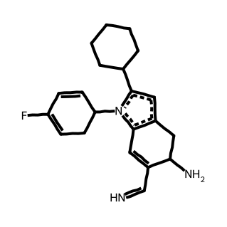 N=CC1=Cc2c(cc(C3CCCCC3)n2C2C=CC(F)=CC2)CC1N